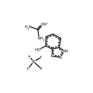 F[B-](F)(F)F.NC(N)=[OH+].Oc1cccc2[nH]nnc12